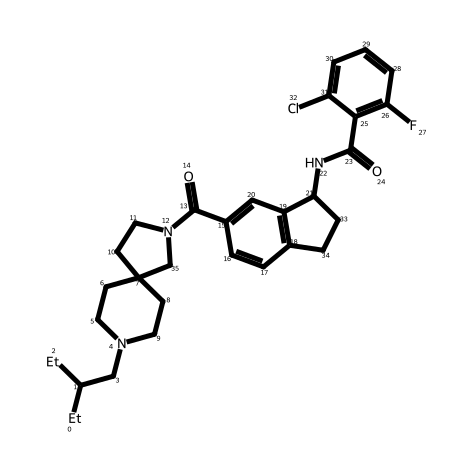 CCC(CC)CN1CCC2(CC1)CCN(C(=O)c1ccc3c(c1)C(NC(=O)c1c(F)cccc1Cl)CC3)C2